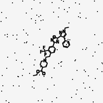 CCOC(=O)C1CCN(CCc2ccc(-c3noc(-c4nn(CC)cc4-c4ccccc4)n3)cc2C(F)(F)F)CC1